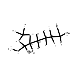 CC(C)(C)C(F)(F)C(F)(F)C(C)(C)C(C)(C)C1(F)OC(F)(F)OC1(OC(F)(F)F)C(C)(C)C